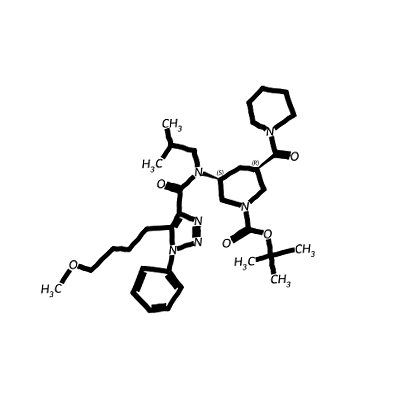 COCCCCc1c(C(=O)N(CC(C)C)[C@H]2C[C@@H](C(=O)N3CCCCC3)CN(C(=O)OC(C)(C)C)C2)nnn1-c1ccccc1